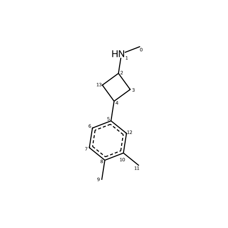 CNC1CC(c2ccc(C)c(C)c2)C1